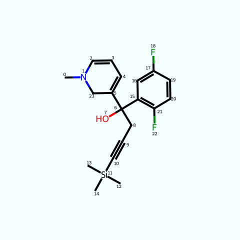 CN1C=CC=C(C(O)(CC#C[Si](C)(C)C)c2cc(F)ccc2F)C1